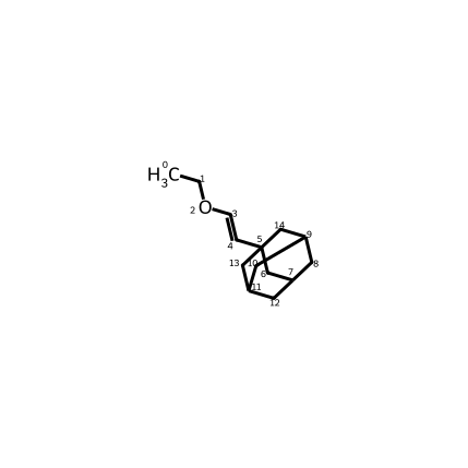 CCOC=CC12CC3CC(CC(C3)C1)C2